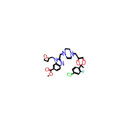 COC(=O)c1ccc2nc(CN3CCN(CC4COC(C)(c5ccc(Cl)cc5F)O4)CC3)n(CC3CCO3)c2c1